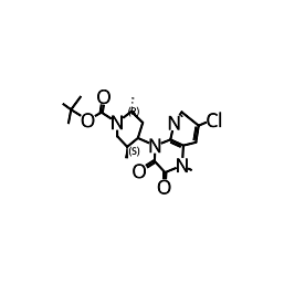 C[C@@H]1CC(n2c(=O)c(=O)n(C)c3cc(Cl)cnc32)[C@@H](C)CN1C(=O)OC(C)(C)C